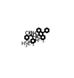 Cc1ccc(C)c(/C(O)=C(/OBc2c3ccccc3c(-c3ccccc3)c3ccccc23)c2cc(C)ccc2C)c1